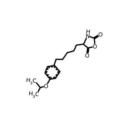 CC(C)Oc1ccc(CCCCCC2NC(=O)OC2=O)cc1